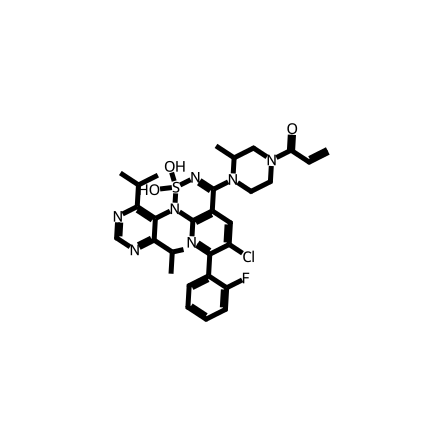 C=CC(=O)N1CCN(C2=NS(O)(O)N(c3c(C(C)C)ncnc3C(C)C)c3nc(-c4ccccc4F)c(Cl)cc32)C(C)C1